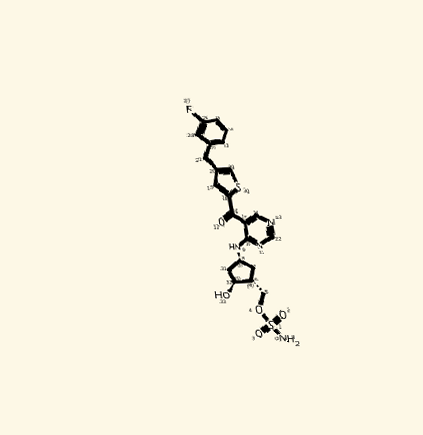 NS(=O)(=O)OC[C@H]1C[C@@H](Nc2ncncc2C(=O)c2cc(Cc3cccc(F)c3)cs2)C[C@@H]1O